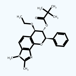 CCO[C@@H]1c2ccc3c(nc(C)n3C)c2O[C@H](c2ccccc2)[C@H]1OC(=O)C(C)(C)C